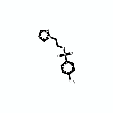 Cc1ccc(S(=O)(=O)OCCn2cncn2)cc1